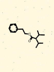 CC(C)C(C(=O)OCCc1ccccc1)C(C)C